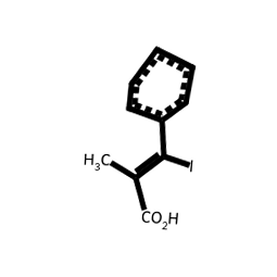 CC(C(=O)O)=C(I)c1ccccc1